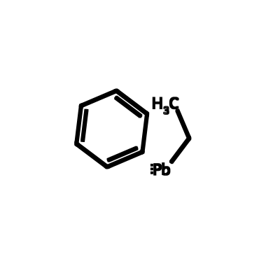 C[CH2][Pb].c1ccccc1